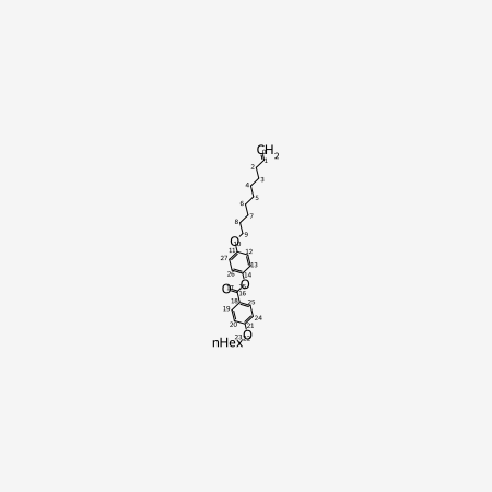 C=CCCCCCCCCOc1ccc(OC(=O)c2ccc(OCCCCCC)cc2)cc1